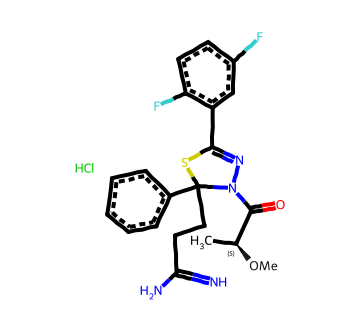 CO[C@@H](C)C(=O)N1N=C(c2cc(F)ccc2F)SC1(CCC(=N)N)c1ccccc1.Cl